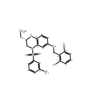 O=C(O)C[C@H]1CN(S(=O)(=O)c2cccc(C(F)(F)F)c2)c2cc(OCc3c(F)cccc3Cl)ccc2O1